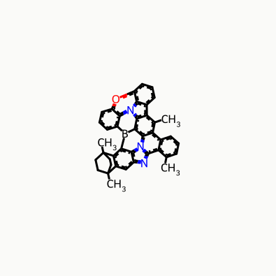 Cc1cccc2c1c1nc3cc4c(c5c3n1c1c3c6c(c(C)c21)c1cccc2oc7cccc(c7n6c21)B53)C1(C)CCC4(C)CC1